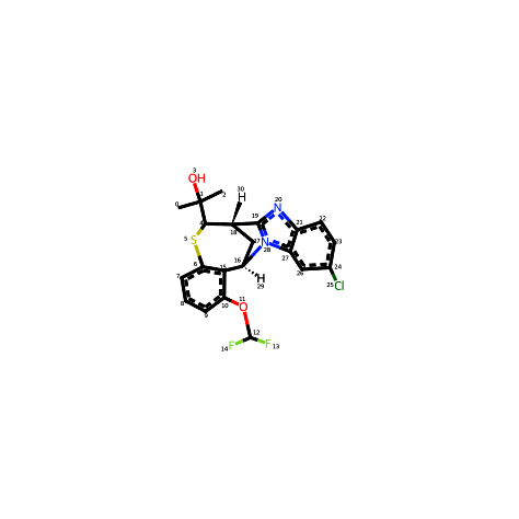 CC(C)(O)C1Sc2cccc(OC(F)F)c2[C@H]2C[C@H]1c1nc3ccc(Cl)cc3n12